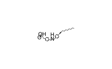 CCCCCCCCC#Cc1ccc(CNCc2ccc(CCC(=O)O)cc2)cc1